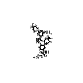 Nc1cc(-c2cn(-c3ccc(NS(=O)(=O)CCO)cc3N3CCC4(CC3)CC4)nn2)nc(N2CCC(F)(F)CC2)n1